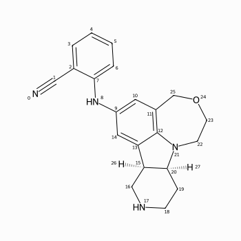 N#Cc1ccccc1Nc1cc2c3c(c1)[C@@H]1CNCC[C@@H]1N3CCOC2